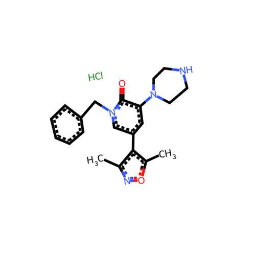 Cc1noc(C)c1-c1cc(N2CCNCC2)c(=O)n(Cc2ccccc2)c1.Cl